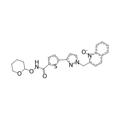 O=C(NOC1CCCCO1)c1ccc(-c2ccn(Cc3ccc4ccccc4[n+]3[O-])n2)s1